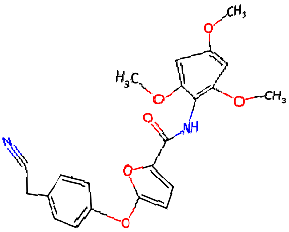 COc1cc(OC)c(NC(=O)c2ccc(Oc3ccc(CC#N)cc3)o2)c(OC)c1